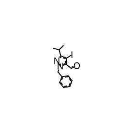 CC(C)c1nn(Cc2ccccc2)c(C=O)c1I